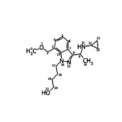 COCc1cccc2c(C(C)NC3CC3)nn(CCCCO)c12